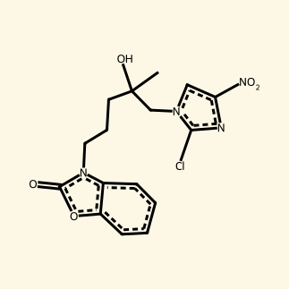 CC(O)(CCCn1c(=O)oc2ccccc21)Cn1cc([N+](=O)[O-])nc1Cl